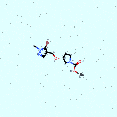 Cn1ncc(CO[C@@H]2CCN(C(=O)OC(C)(C)C)C2)c1Br